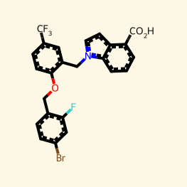 O=C(O)c1cccc2c1ccn2Cc1cc(C(F)(F)F)ccc1OCc1ccc(Br)cc1F